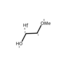 COCCO.[Hf]